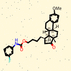 COc1ccc2c(c1)CC[C@H]1[C@@H]3[C@H](CCCCOC(=O)Nc4cccc(F)c4)CC(=O)[C@@]3(C)CC[C@H]21